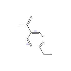 C=C(/C=C\C(=C/C)C(C)=S)CC